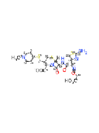 C[n+]1ccc(SCC2=C(C(=O)[O-])N3C(=O)[C@@H](NC(=O)/C(=N\OCC(=O)O)c4csc(N)n4)[C@H]3SC2)cc1